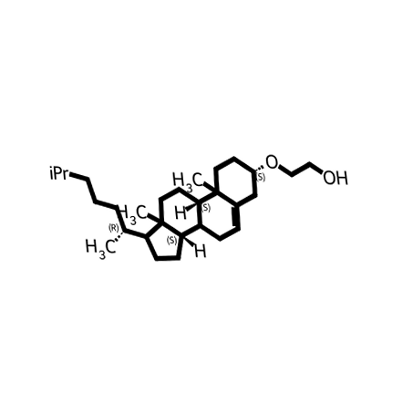 CC(C)CCC[C@@H](C)C1CC[C@H]2C3CC=C4C[C@@H](OCCO)CCC4(C)[C@H]3CCC12C